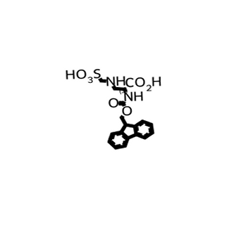 O=C(N[C@@H](CNCS(=O)(=O)O)C(=O)O)OCC1c2ccccc2-c2ccccc21